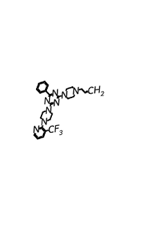 C=CCN1CCN(c2nc(-c3ccccc3)nc(N3CCN(c4ncccc4C(F)(F)F)CC3)n2)CC1